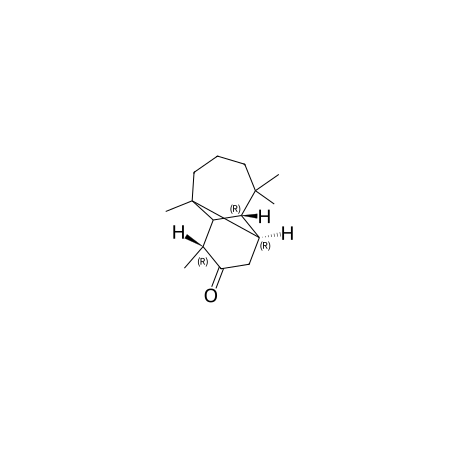 C[C@H]1C(=O)C[C@@H]2[C@@H]3C1C2(C)CCCC3(C)C